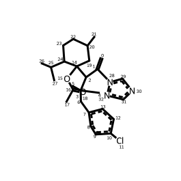 C=C(C(C(C)(C)Cc1ccc(Cl)cc1)C1(OC(C)=O)CC(C)CCC1C(C)C)n1cncn1